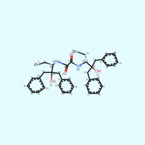 CC(C)C[C@@H](NC(=O)C(=O)N[C@H](CC(C)C)C(O)(Cc1ccccc1)Cc1ccccc1)C(O)(Cc1ccccc1)Cc1ccccc1